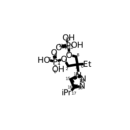 CCC(COP(=O)(O)O)(COP(=O)(O)O)n1cc(C(C)C)nn1